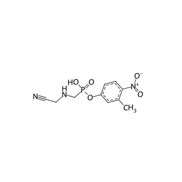 Cc1cc(OP(=O)(O)CNCC#N)ccc1[N+](=O)[O-]